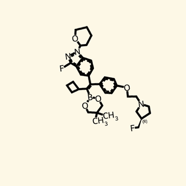 CC1(C)COB(C(=C(c2ccc(OCCN3CC[C@@H](CF)C3)cc2)c2ccc3c(c2)c(F)nn3C2CCCCO2)C2CCC2)OC1